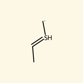 [CH2][SH]=CC